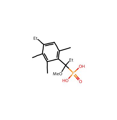 CCc1cc(C)c(C(CC)(OC)P(=O)(O)O)c(C)c1C